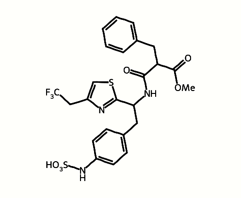 COC(=O)C(Cc1ccccc1)C(=O)NC(Cc1ccc(NS(=O)(=O)O)cc1)c1nc(CC(F)(F)F)cs1